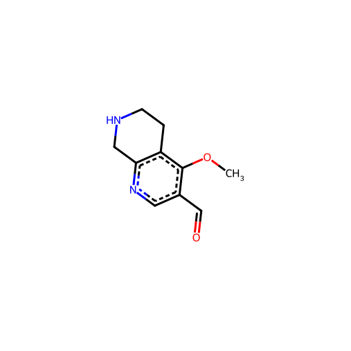 COc1c(C=O)cnc2c1CCNC2